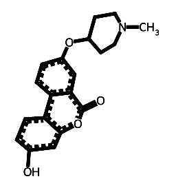 CN1CCC(Oc2ccc3c(c2)c(=O)oc2cc(O)ccc23)CC1